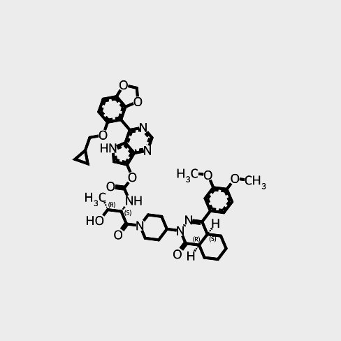 COc1ccc(C2=NN(C3CCN(C(=O)[C@@H](NC(=O)Oc4c[nH]c5c(-c6c(OCC7CC7)ccc7c6OCO7)ncnc45)[C@@H](C)O)CC3)C(=O)[C@@H]3CCCC[C@H]23)cc1OC